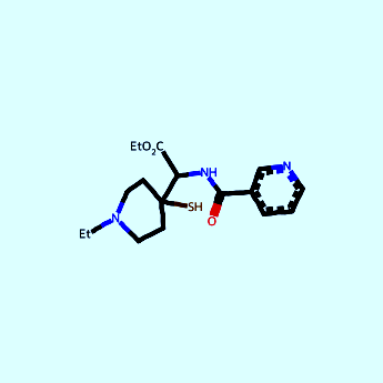 CCOC(=O)C(NC(=O)c1cccnc1)C1(S)CCN(CC)CC1